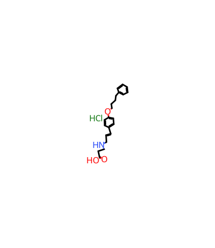 Cl.O=C(O)CCNC/C=C/c1ccc(OCCCCc2ccccc2)cc1